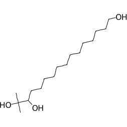 CC(C)(O)C(O)CCCCCCCCCCCCCO